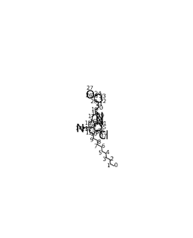 CCCCCCCCCCCCC(C#N)(CCCC(CCc1cccc(OC)c1)/N=N/C)c1cccc(Cl)c1